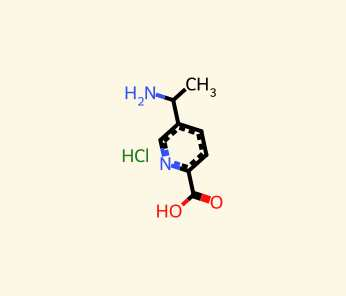 CC(N)c1ccc(C(=O)O)nc1.Cl